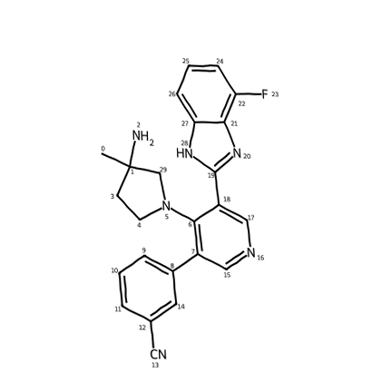 CC1(N)CCN(c2c(-c3cccc(C#N)c3)cncc2-c2nc3c(F)cccc3[nH]2)C1